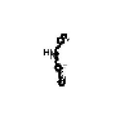 Cn1ccc2ccc(/C=C/c3cc(/C=C/c4ccc(OCc5ccccn5)c(F)c4)n[nH]3)cc21